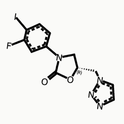 O=C1O[C@@H](Cn2ccnn2)CN1c1ccc(I)c(F)c1